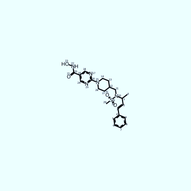 CC(/C=C/c1ccccc1)N(CC1CCN(c2ncc(C(=O)NO)cn2)CC1)S(C)(=O)=O